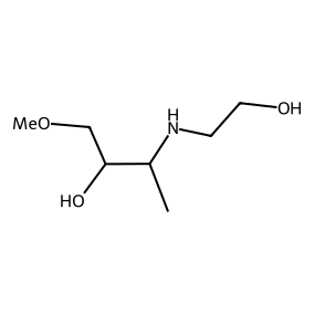 COCC(O)C(C)NCCO